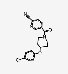 N#Cc1ccc(C(=O)N2CCC(Oc3ccc(Cl)cc3)CC2)cn1